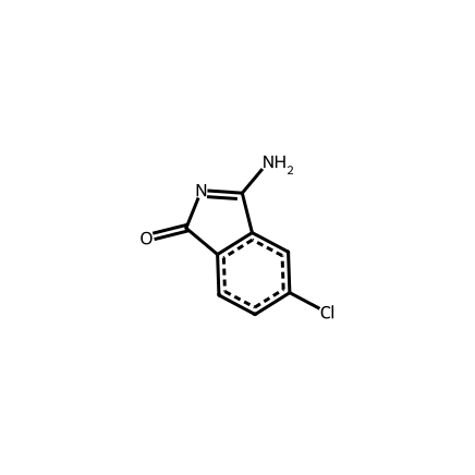 NC1=NC(=O)c2ccc(Cl)cc21